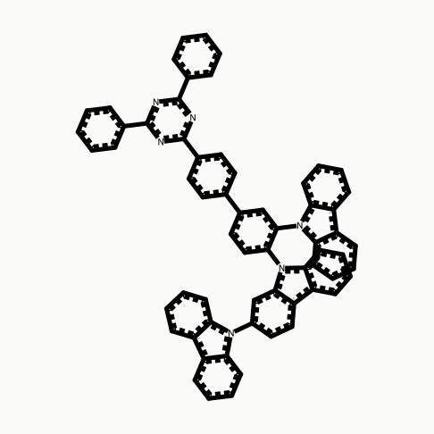 c1ccc(-c2nc(-c3ccccc3)nc(-c3ccc(-c4ccc(-n5c6ccccc6c6ccc(-n7c8ccccc8c8ccccc87)cc65)c(-n5c6ccccc6c6ccccc65)c4)cc3)n2)cc1